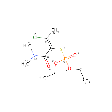 CCOP(=O)(OCC)S/C(C(=O)N(C)C)=C(\C)Cl